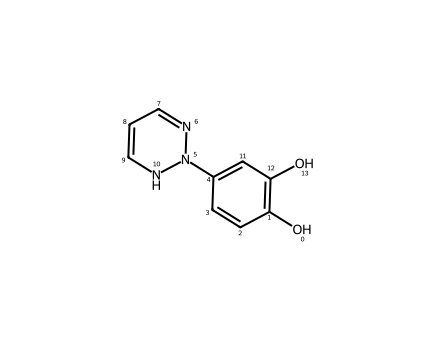 Oc1ccc(N2N=CC=CN2)cc1O